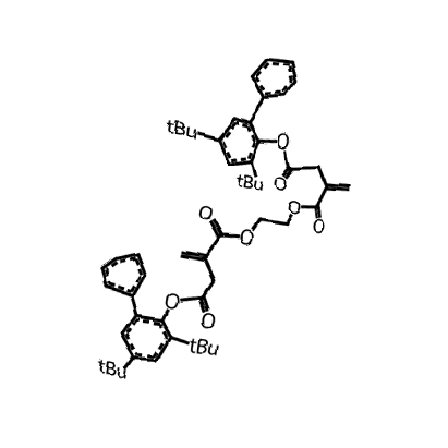 C=C(CC(=O)Oc1c(-c2ccccc2)cc(C(C)(C)C)cc1C(C)(C)C)C(=O)OCCOC(=O)C(=C)CC(=O)Oc1c(-c2ccccc2)cc(C(C)(C)C)cc1C(C)(C)C